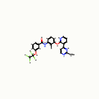 CNc1nccc(-c2cccnc2Oc2cccc(NC(=O)c3cccc(OC(F)(F)C(F)F)c3)c2C)n1